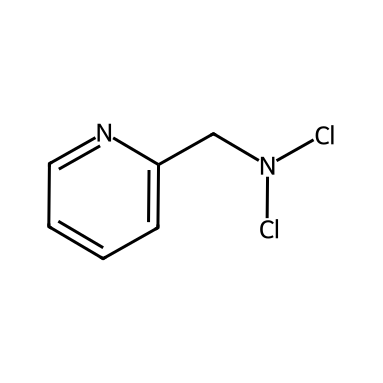 ClN(Cl)Cc1ccccn1